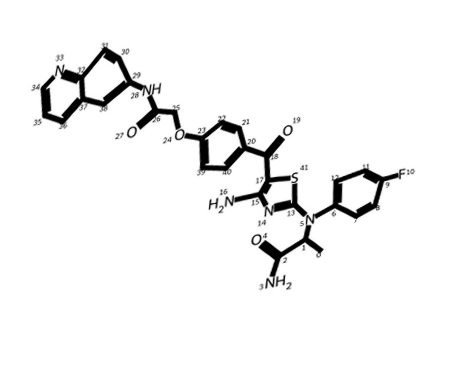 CC(C(N)=O)N(c1ccc(F)cc1)c1nc(N)c(C(=O)c2ccc(OCC(=O)Nc3ccc4ncccc4c3)cc2)s1